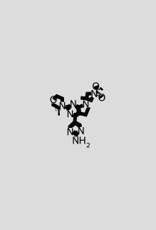 C[C@H]1COCCN1c1nc(-c2cnc(N)nc2)c2c(n1)N(C1(C)CN(S(C)(=O)=O)C1)CC2